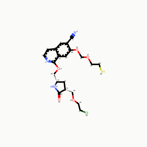 N#Cc1cc2ccnc(OC[C@@H]3C[C@H](COCCCl)C(=O)N3)c2cc1OCOCCS